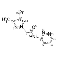 Cc1nn(CC(=O)Nc2cccnn2)cc1C(C)C